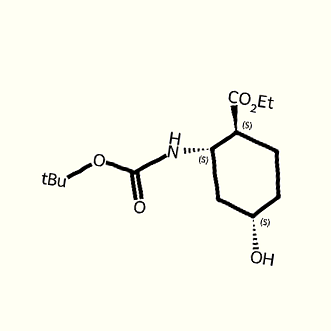 CCOC(=O)[C@H]1CC[C@H](O)C[C@@H]1NC(=O)OC(C)(C)C